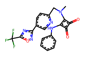 CN(Cc1ccc(-c2noc(C(F)(F)F)n2)cn1)c1c(Nc2ccccc2)c(=O)c1=O